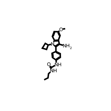 CCCNC(=O)Nc1ccc(-c2c(N)c3cc(OC)ccc3n2C2CCC2)cc1